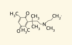 [CH2]CCN(C)CCC(C)(C)C1=C(C)C(=O)C=C(C)C1=O